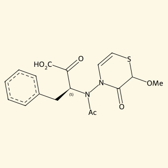 COC1SC=CN(N(C(C)=O)[C@@H](Cc2ccccc2)C(=O)C(=O)O)C1=O